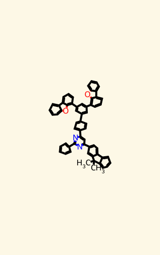 CC1(C)c2ccccc2-c2ccc(-c3cc(-c4ccc(-c5cc(-c6cccc7c6oc6ccccc67)cc(-c6cccc7c6oc6ccccc67)c5)cc4)nc(-c4ccccc4)n3)cc21